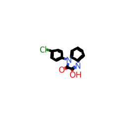 O=c1c(O)nc2ccccc2n1-c1ccc(Cl)cc1